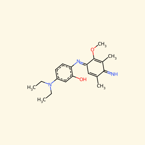 CCN(CC)c1ccc(N=C2C=C(C)C(=N)C(C)=C2OC)c(O)c1